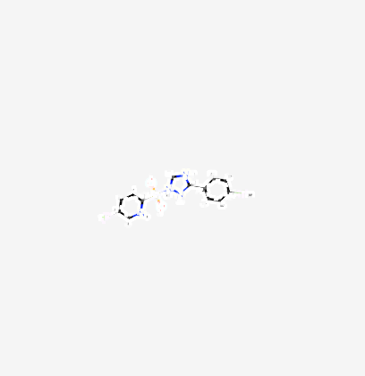 O=S(=O)(c1ccc(F)cn1)n1cnc(-c2ccc(F)cc2)n1